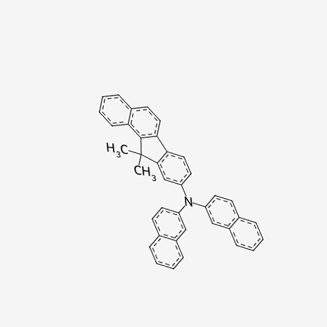 CC1(C)c2cc(N(c3ccc4ccccc4c3)c3ccc4ccccc4c3)ccc2-c2ccc3ccccc3c21